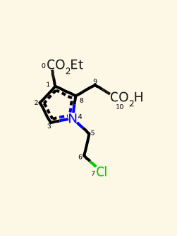 CCOC(=O)c1ccn(CCCl)c1CC(=O)O